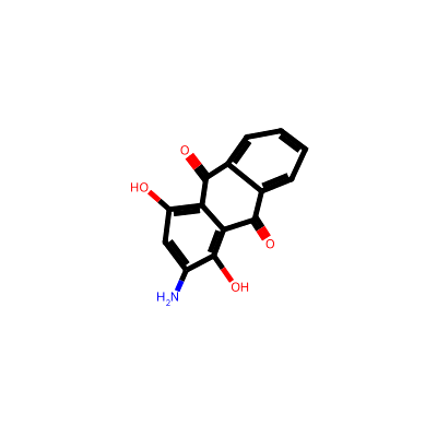 Nc1cc(O)c2c(c1O)C(=O)c1ccccc1C2=O